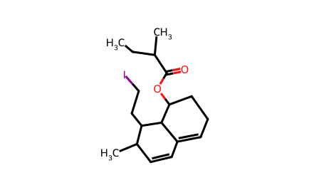 CCC(C)C(=O)OC1CCC=C2C=CC(C)C(CCI)C21